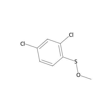 COSc1ccc(Cl)cc1Cl